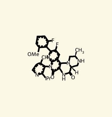 COc1cccc(F)c1-c1nc2c(cc1F)c1c(c(=O)n2-c2c(C)ccnc2C(C)C)NC(=O)[C@H]2CN[C@H](C)CN12